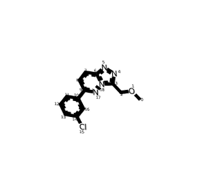 COCc1nnc2ccc(-c3cccc(Cl)c3)nn12